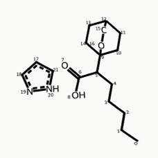 CCCCCC(C(=O)O)C12CCC(CC1)CO2.c1cn[nH]c1